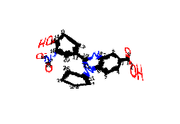 O=C(O)c1ccc2c(c1)nc(-c1ccc(O)c([N+](=O)[O-])c1)n2C1CCCC1